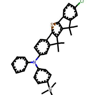 CC1(C)c2cc(Cl)ccc2-c2sc3c(c21)C(C)(C)c1cc(N(c2ccccc2)c2ccc([Si](C)(C)C)cc2)ccc1-3